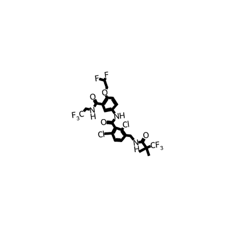 CC(C)(C(=O)NCc1ccc(Cl)c(C(=O)Nc2ccc(OCC(F)F)c(C(=O)NCC(F)(F)F)c2)c1Cl)C(F)(F)F